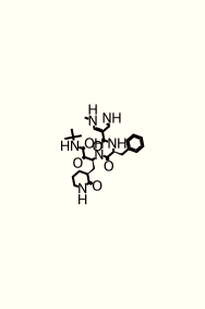 CN/C=C(\C=N)C(=O)N[C@@H](Cc1ccccc1)C(=O)N[C@@H](C[C@@H]1CCCNC1=O)C(=O)C(=O)NC(C)(C)C